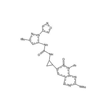 CNc1ncc2cc(C3CC3NC(=O)Nc3cc(C(C)(C)C)nn3-c3cnoc3)c(=O)n(C(C)C)c2n1